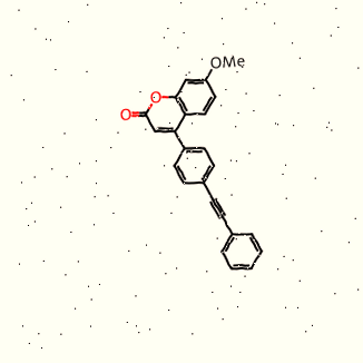 COc1ccc2c(-c3ccc(C#Cc4ccccc4)cc3)cc(=O)oc2c1